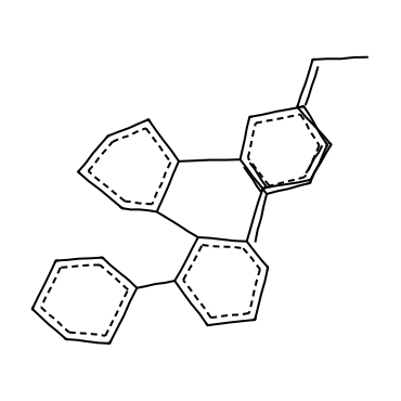 C=C(/C=C\C=C/C)c1cccc(-c2ccccc2)c1-c1ccccc1-c1ccccc1C